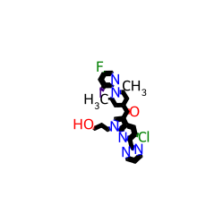 C[C@@H]1CC(C(=O)c2cn(CCCO)c3nc(-c4ncccn4)c(Cl)cc23)C[C@@H](C)N1c1ncc(F)cc1I